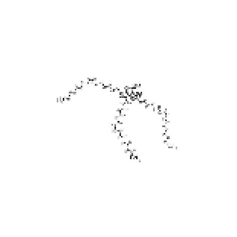 CCCCCCCC/C=C\CCCCCCCC(=O)OC(C(=O)CCCCCCC/C=C\CCCCCCCC)(C(=O)CCCCCCC/C=C\CCCCCCCC)C(O)CO